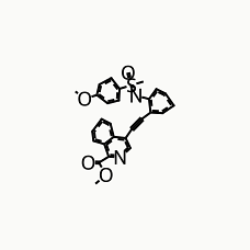 COC(=O)c1ncc(C#Cc2ccccc2N=S(C)(=O)c2ccc(OC)cc2)c2ccccc12